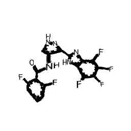 O=C(Nc1c[nH]nc1-c1nc2c(F)c(F)c(F)c(F)c2[nH]1)c1c(F)cccc1F